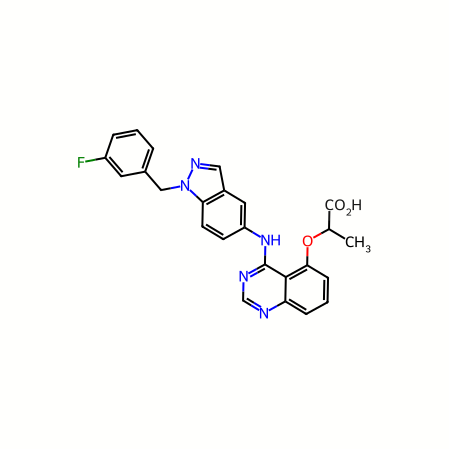 CC(Oc1cccc2ncnc(Nc3ccc4c(cnn4Cc4cccc(F)c4)c3)c12)C(=O)O